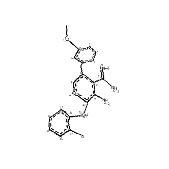 COc1cccc(-c2cnc(Nc3ccccc3C)c(N)c2C(=N)N)c1